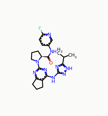 CC(C)c1nc(Nc2nc(N3CCC[C@H]3C(=O)Nc3ccc(F)nc3)nc3c2CCC3)n[nH]1